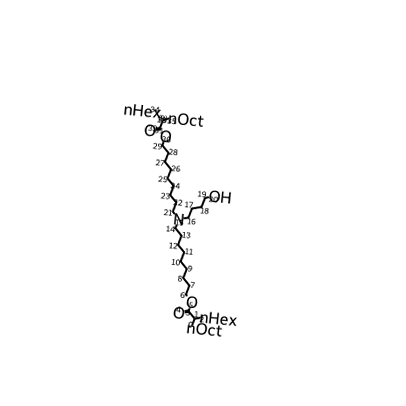 CCCCCCCCC(CCCCCC)C(=O)OCCCCCCCCCN(CCCCO)CCCCCCCCCOC(=O)[C@H](CCCCCC)CCCCCCCC